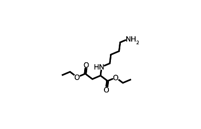 CCOC(=O)CC(NCCCCN)C(=O)OCC